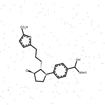 CCCCCC(O)c1ccc(N2CC[C@@H](Cl)[C@@H]2CCCc2ccc(C(=O)O)s2)cc1